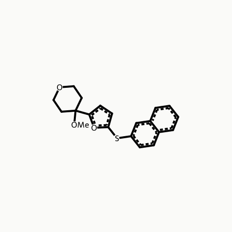 COC1(c2ccc(Sc3ccc4ccccc4c3)o2)CCOCC1